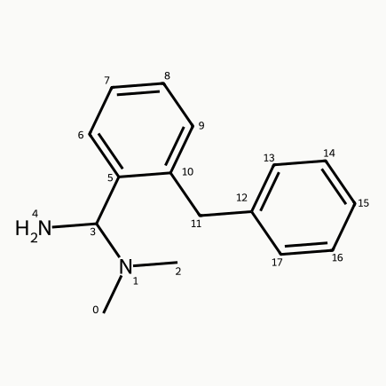 CN(C)C(N)c1ccccc1Cc1ccccc1